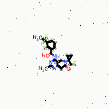 Cc1nc(NC(O)c2cccc(C(C)(F)F)c2F)c2cn(C3(CF)CC3)c(=O)cc2n1